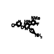 CNc1cc(F)cc2c1[nH]c1nc(Oc3cncc(Cl)c3)nc(N3CC4C(N)C4C3)c12